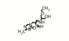 C=C/N=C\N(C/C(=C/NC(CO)COCC)N=N)[N+](=O)[O-]